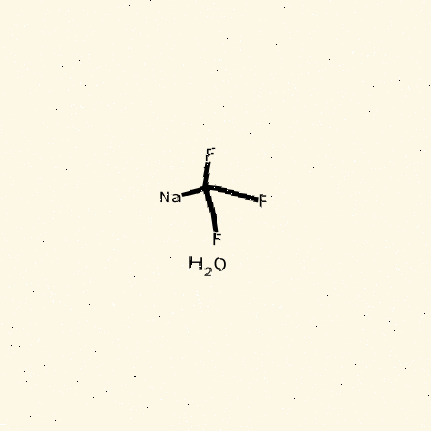 F[C](F)(F)[Na].O